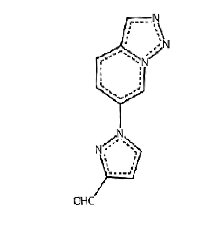 O=Cc1ccn(-c2ccc3cnnn3c2)n1